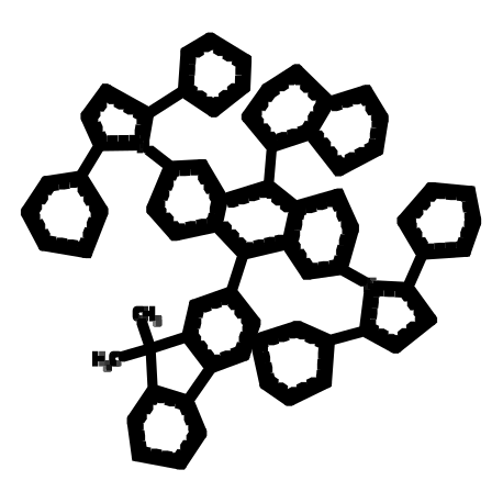 CC1(C)c2ccccc2-c2ccc(-c3c4cc(-n5c(-c6ccccc6)ccc5-c5ccccc5)ccc4c(-c4cccc5ccccc45)c4cc(-n5c(-c6ccccc6)ccc5-c5ccccc5)ccc34)cc21